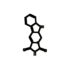 O=C1NC(=O)N2CC3NC4C=CC=CC4=C3C=C12